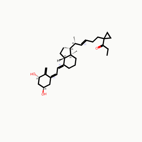 C=C1/C(=C\C=C2/CCC[C@]3(C)[C@@H]([C@H](C)/C=C/CCC4(C(=O)CC)CC4)CC[C@@H]23)C[C@@H](O)C[C@@H]1O